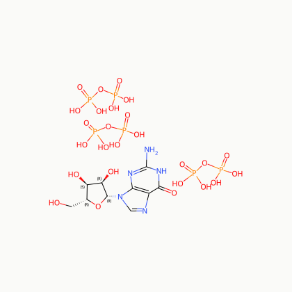 Nc1nc2c(ncn2[C@@H]2O[C@H](CO)[C@@H](O)[C@H]2O)c(=O)[nH]1.O=P(O)(O)OP(=O)(O)O.O=P(O)(O)OP(=O)(O)O.O=P(O)(O)OP(=O)(O)O